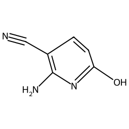 N#Cc1ccc(O)nc1N